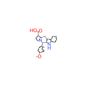 COc1ccc(C2c3[nH]c4ccccc4c3Cc3c(C(=O)O)ccn32)cc1